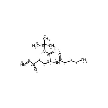 CCCCC(=O)N[C@@H](CCC(=O)C=N)C(=O)OC(C)(C)C